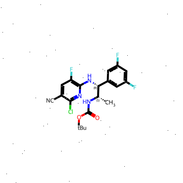 C[C@H](NC(=O)OC(C)(C)C)[C@H](Nc1nc(Cl)c(C#N)cc1F)c1cc(F)cc(F)c1